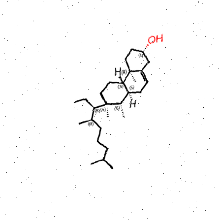 CC[C@H]([C@H](C)CCCC(C)C)[C@@]1(C)CC[C@H]2[C@@H](CC=C3C[C@@H](O)CC[C@@]32C)[C@@H]1C